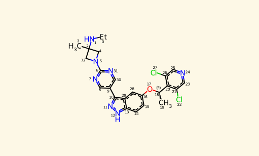 CCNC1(C)CN(c2ncc(-c3n[nH]c4ccc(O[C@H](C)c5c(Cl)cncc5Cl)cc34)cn2)C1